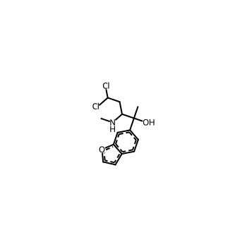 CNC(CC(Cl)Cl)C(C)(O)c1ccc2ccoc2c1